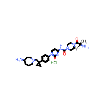 CC(C)(N)C(=O)N1CCN(C(=O)Nc2ccn(-c3ccc(C4(CN5CCCC(N)CC5)CC4)cc3)c(=O)n2)CC1.Cl